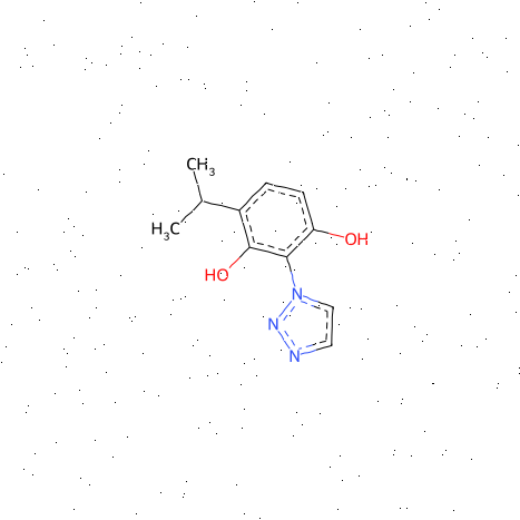 CC(C)c1ccc(O)c(-n2ccnn2)c1O